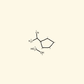 CC(C#N)C1CCCC1.O=S(=O)(O)O